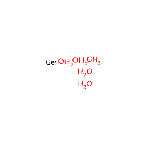 O.O.O.O.O.[Ge]